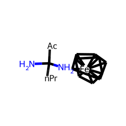 CCCC(N)(N)C(C)=O.[CH]12[CH]3[CH]4[CH]5[CH]1[Fe]23451678[CH]2[CH]1[CH]6[CH]7[CH]28